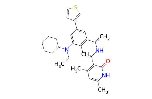 C=C(NCc1c(C)cc(C)[nH]c1=O)c1cc(-c2ccsc2)cc(N(CC)C2CCCCC2)c1C